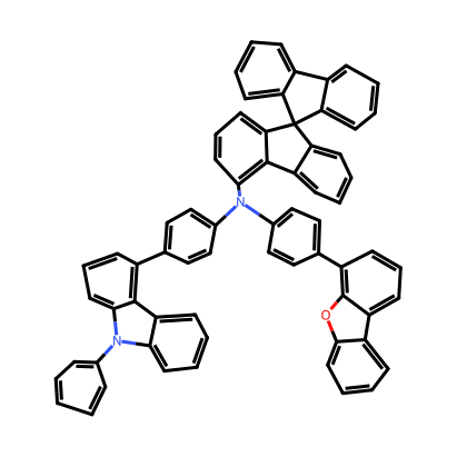 c1ccc(-n2c3ccccc3c3c(-c4ccc(N(c5ccc(-c6cccc7c6oc6ccccc67)cc5)c5cccc6c5-c5ccccc5C65c6ccccc6-c6ccccc65)cc4)cccc32)cc1